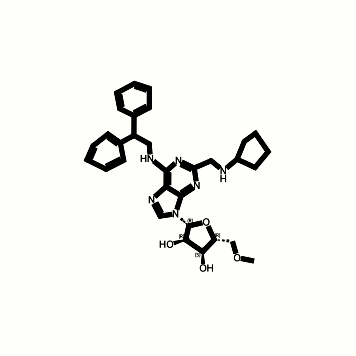 COC[C@H]1O[C@@H](n2cnc3c(NCC(c4ccccc4)c4ccccc4)nc(CNC4CCCC4)nc32)[C@H](O)[C@@H]1O